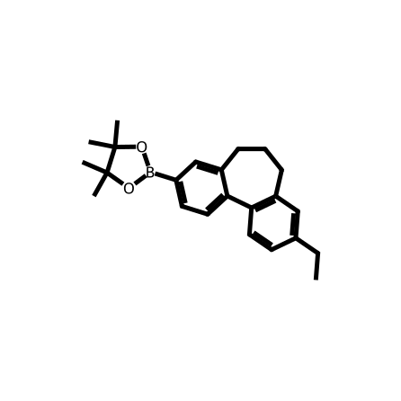 CCc1ccc2c(c1)CCCc1cc(B3OC(C)(C)C(C)(C)O3)ccc1-2